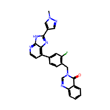 Cn1cc(-c2nc3c(-c4ccc(Cn5cnc6ccccc6c5=O)c(F)c4)ccnc3[nH]2)cn1